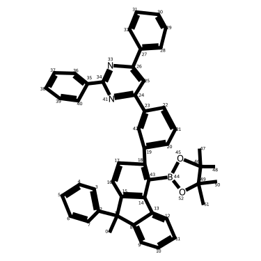 CC1(c2ccccc2)c2ccccc2-c2c1ccc(-c1cccc(-c3cc(-c4ccccc4)nc(-c4ccccc4)n3)c1)c2B1OC(C)(C)C(C)(C)O1